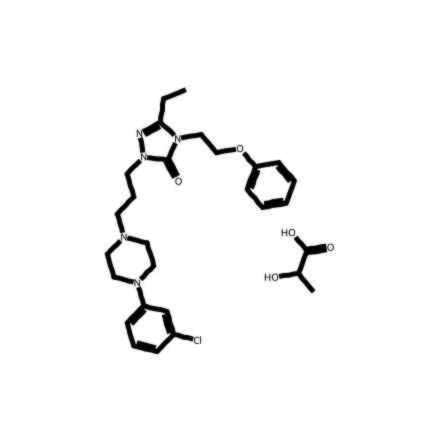 CC(O)C(=O)O.CCc1nn(CCCN2CCN(c3cccc(Cl)c3)CC2)c(=O)n1CCOc1ccccc1